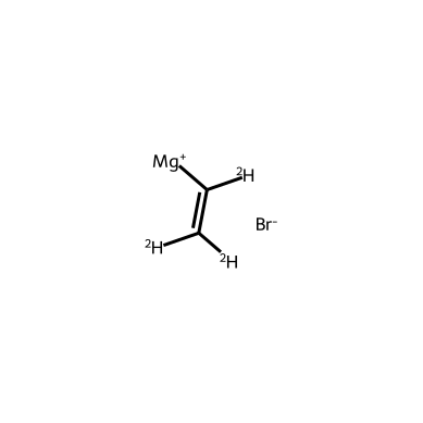 [2H]C([2H])=[C]([2H])[Mg+].[Br-]